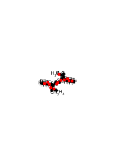 CCCCC(CC)Cc1cc(-c2cc3sc(-c4cc(CC(CC)CCCC)c(C(F)(F)C(F)(F)C(F)(F)C(F)(F)C(F)(F)C(F)(F)F)s4)cc3s2)sc1C(F)(F)C(F)(F)C(F)(F)C(F)(F)C(F)(F)C(F)(F)F